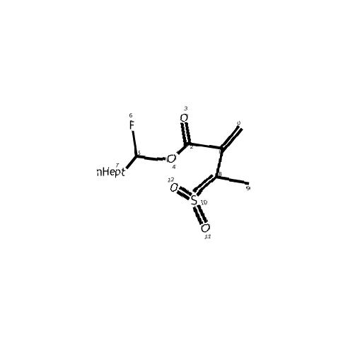 C=C(C(=O)OC(F)CCCCCCC)C(C)=S(=O)=O